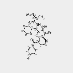 CC[C@H](C(=N)C(=O)[C@@H](NC(=O)[C@H](C)NC)C1CCCCC1)c1cc(C(=O)c2ccc(F)cc2)ccn1